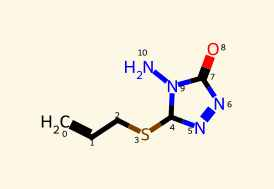 C=CCSC1N=NC(=O)N1N